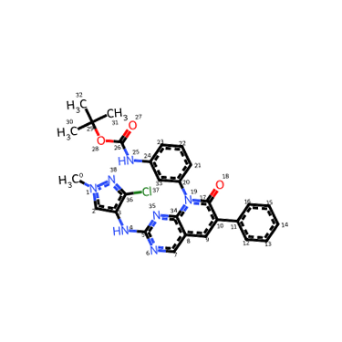 Cn1cc(Nc2ncc3cc(-c4ccccc4)c(=O)n(-c4cccc(NC(=O)OC(C)(C)C)c4)c3n2)c(Cl)n1